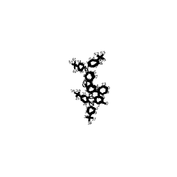 Cc1cc2c3c(c1)C1(CCCCC1)c1cc4c(cc1B3c1cc(C(C)(C)C)ccc1N2c1ccc(C(C)(C)C)cc1)oc1cc(N(c2ccc(C(C)(C)C)cc2)c2ccc(C(C)(C)C)cc2)ccc14